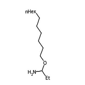 CCCCCCCCCCCCOC(N)CC